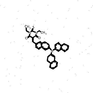 CCN1C(=O)C(=Cc2ccc3cc(N(C4=Cc5ccccc5CC4)c4ccc5ccccc5c4)ccc3c2)C(=O)N(CC)C1=S